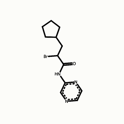 O=C(Nc1cnccn1)C(Br)CC1CCCC1